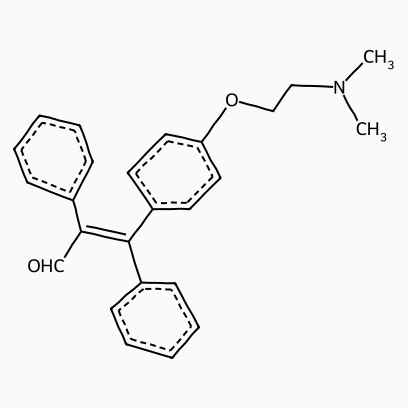 CN(C)CCOc1ccc(/C(=C(/C=O)c2ccccc2)c2ccccc2)cc1